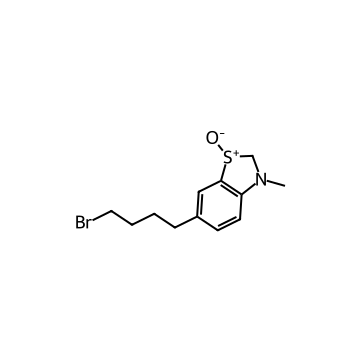 CN1C[S+]([O-])c2cc(CCCCBr)ccc21